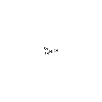 [Ce].[Fe].[Ni].[Sn]